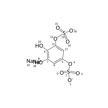 O=S(=O)([O-])Oc1cc(O)c(O)c(OS(=O)(=O)[O-])c1.[Na+].[Na+]